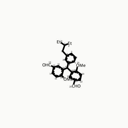 CCC(CC)Cc1cccc(C(c2cc(C=O)ccc2OC)c2cc(C=O)ccc2OC)c1